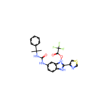 CC(C)(NC(=O)Nc1ccc2[nH]c(-c3cscn3)[n+](OC(=O)C(F)(F)F)c2c1)c1ccccc1